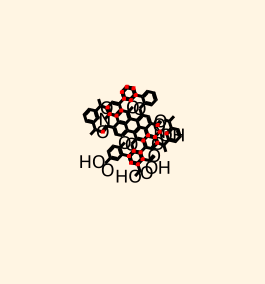 CC(C)c1cccc(C(C)C)c1N1C(=O)c2cc(Oc3ccccc3-c3ccccc3)c3c4c(Oc5ccccc5-c5ccccc5)cc5c6c(cc(Oc7ccc(C(=O)O)cc7-c7ccc(C(=O)O)cc7)c(c7c(Oc8ccc(C(=O)O)cc8-c8ccc(C(=O)O)cc8)cc(c2c37)C1=O)c64)C(=O)N(c1c(C(C)C)cccc1C(C)C)C5=O